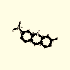 Cc1ccc2cc3ccc(N(C)C)cc3nc2c1